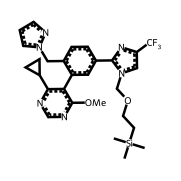 COc1ncnc(C2CC2)c1-c1cc(-c2nc(C(F)(F)F)cn2COCC[Si](C)(C)C)ccc1Cn1cccn1